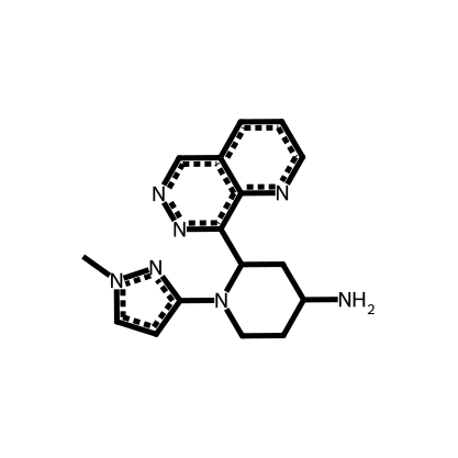 Cn1ccc(N2CCC(N)CC2c2nncc3cccnc23)n1